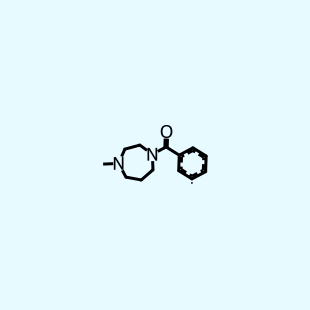 CN1CCCN(C(=O)c2c[c]ccc2)CC1